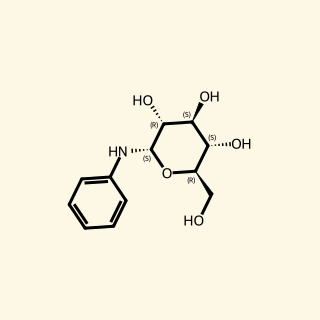 OC[C@H]1O[C@H](Nc2ccccc2)[C@H](O)[C@@H](O)[C@@H]1O